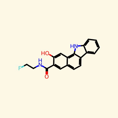 O=C(NCCF)c1cc2ccc3c4ccccc4[nH]c3c2cc1O